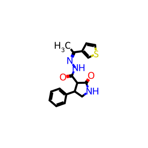 C/C(=N/NC(=O)C1C(=O)NCC1c1ccccc1)c1ccsc1